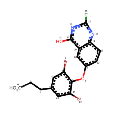 O=C(O)CCc1cc(Br)c(Oc2ccc3nc(Cl)nc(O)c3c2)c(Br)c1